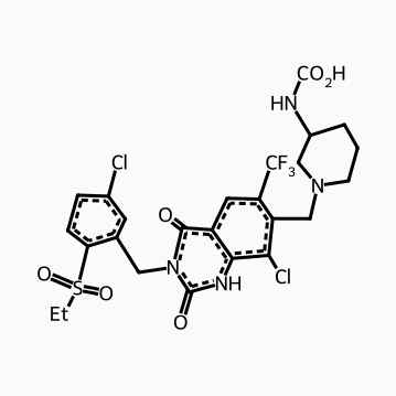 CCS(=O)(=O)c1ccc(Cl)cc1Cn1c(=O)[nH]c2c(Cl)c(CN3CCCC(NC(=O)O)C3)c(C(F)(F)F)cc2c1=O